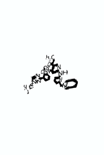 CCC(=O)c1cnc(Nc2cccc(CN3CCCCC3)n2)cc1Nc1cccc(-c2ncn(C)n2)c1OC